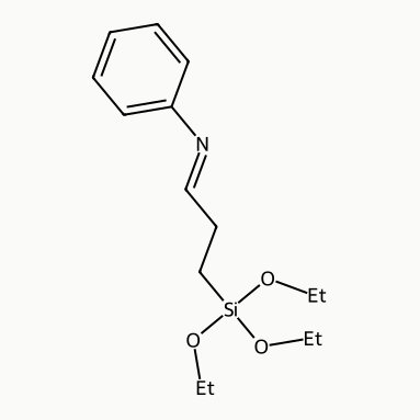 CCO[Si](CCC=Nc1ccccc1)(OCC)OCC